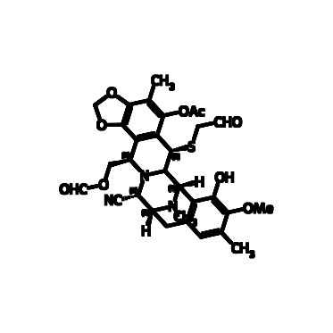 COc1c(C)cc2c(c1O)[C@H]1C3[C@H](SCC=O)c4c(OC(C)=O)c(C)c5c(c4[C@H](COC=O)N3[C@@H](C#N)[C@@H](C2)N1C)OCO5